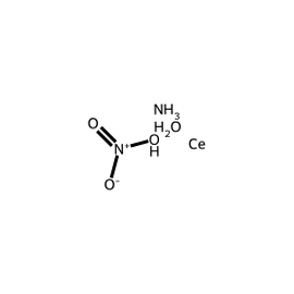 N.O.O=[N+]([O-])O.[Ce]